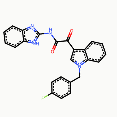 O=C(Nc1nc2ccccc2[nH]1)C(=O)c1cn(Cc2ccc(F)cc2)c2ccccc12